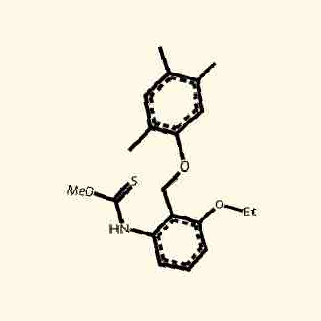 CCOc1cccc(NC(=S)OC)c1COc1cc(C)c(C)cc1C